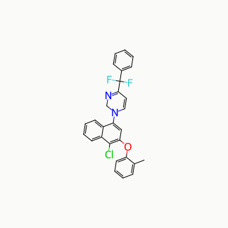 Cc1ccccc1Oc1cc(N2C=CC(C(F)(F)c3ccccc3)=NC2)c2ccccc2c1Cl